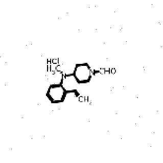 C=Cc1ccccc1N(C)C1CCN(C=O)CC1.Cl